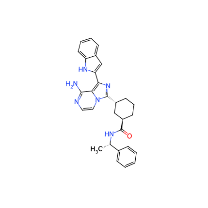 C[C@H](NC(=O)[C@@H]1CCC[C@@H](c2nc(-c3cc4ccccc4[nH]3)c3c(N)nccn23)C1)c1ccccc1